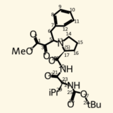 COC(=O)C(=O)C(Cc1ccccc1)N1CCC[C@H]1C(=O)NC(=O)[C@@H](NC(=O)OC(C)(C)C)C(C)C